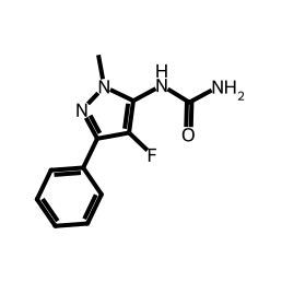 Cn1nc(-c2ccccc2)c(F)c1NC(N)=O